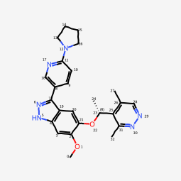 COc1cc2[nH]nc(-c3ccc(N4CCCC4)nc3)c2cc1O[C@H](C)c1c(C)cnnc1C